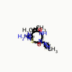 Cc1cc(C)c2cc1C(=O)NCCCN(CCN1CCN(C)CC1)C(=O)CCSc1cc-2nc(N)n1